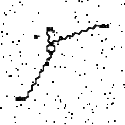 CCCCCCCCC=CCCCCCCCCOCCN1CC[N+](CCCN)(CCOCCCCCCCCC=CCCCCCCCC)CC1.[Br-]